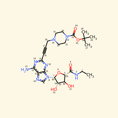 CCNC(=O)[C@H]1O[C@@H](n2cnc3c(N)nc(C#CCN4CCN(C(=O)OC(C)(C)C)CC4)nc32)[C@@H](O)C1O